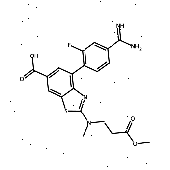 COC(=O)CCN(C)c1nc2c(-c3ccc(C(=N)N)cc3F)cc(C(=O)O)cc2s1